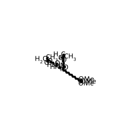 C=C(C)C(=O)OCCNC(=O)NCCN(CCCCCCCCCCC[Si](OC)(OC)OC)C(=O)NCCOC(=O)C(=C)C